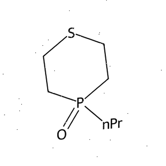 CCCP1(=O)CCSCC1